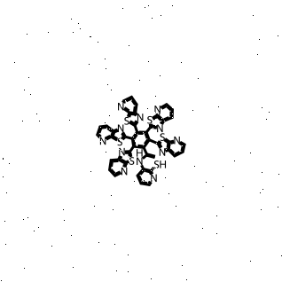 C=C(Nc1cccnc1S)c1c(-c2nc3cccnc3s2)c(-c2nc3cccnc3s2)c(-c2nc3cccnc3s2)c(-c2nc3cccnc3s2)c1-c1nc2cccnc2s1